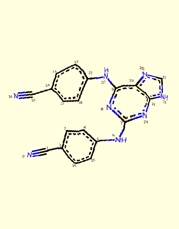 N#Cc1ccc(Nc2nc(Nc3ccc(C#N)cc3)c3nc[nH]c3n2)cc1